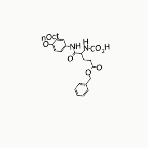 CCCCCCCCOc1ccc(NC(=O)C(CCC(=O)OCc2ccccc2)NC(=O)O)cc1